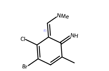 CN/C=C1\C(=N)C(C)=CC(Br)=C1Cl